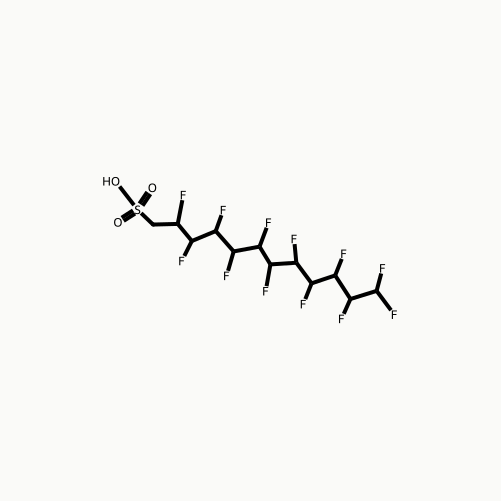 O=S(=O)(O)CC(F)C(F)C(F)C(F)C(F)C(F)C(F)C(F)C(F)C(F)C(F)F